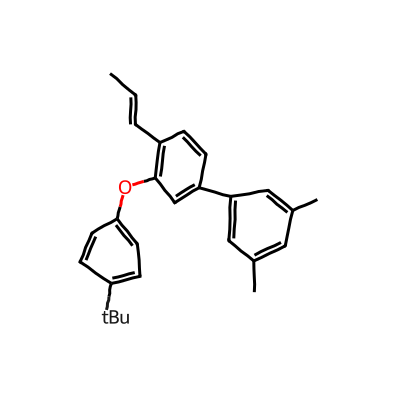 C/C=C/c1ccc(-c2cc(C)cc(C)c2)cc1Oc1ccc(C(C)(C)C)cc1